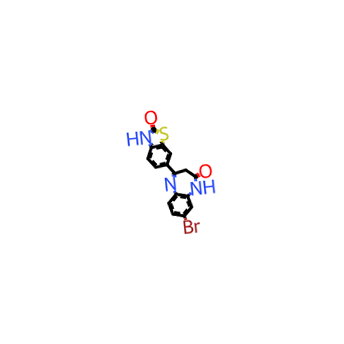 O=C1CC(c2ccc3[nH]c(=O)sc3c2)=Nc2ccc(Br)cc2N1